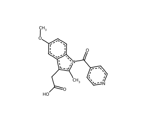 COc1ccc2c(c1)c(CC(=O)O)c(C)n2C(=O)c1ccncc1